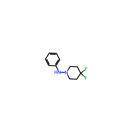 FC1(F)CCN(Nc2ccccc2)CC1